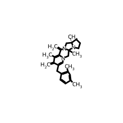 C=C1C(Cc2ccc(C)cc2C)=CN2CC3(C)N(C[C@@]4(C)CCCN34)C(=C)C2=C1C